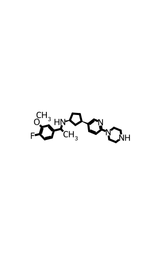 COc1cc(C(C)N[C@H]2CC[C@@H](c3ccc(N4CCNCC4)nc3)C2)ccc1F